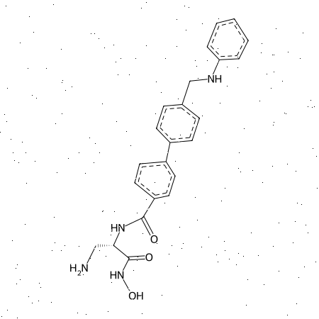 NC[C@H](NC(=O)c1ccc(-c2ccc(CNc3ccccc3)cc2)cc1)C(=O)NO